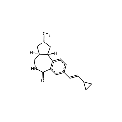 CN1C[C@@H]2CNC(=O)c3cc(/C=C/C4CC4)ccc3[C@H]2C1